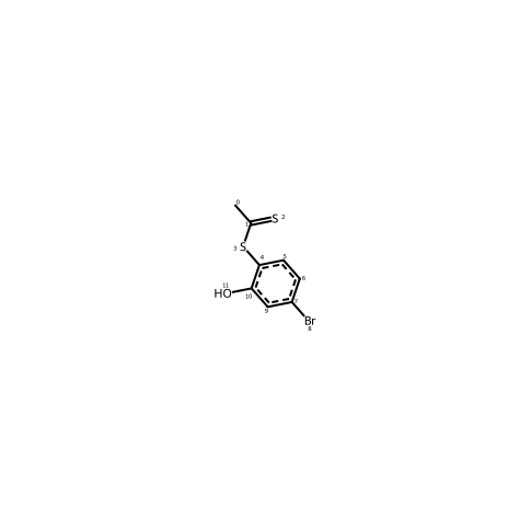 CC(=S)Sc1ccc(Br)cc1O